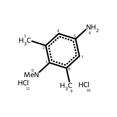 CNc1c(C)cc(N)cc1C.Cl.Cl